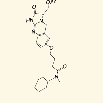 CC(=O)OCC1C(=O)NC2=Nc3ccc(OCCCC(=O)N(C)C4CCCCC4)cc3CN21